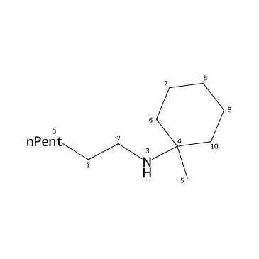 CCCCCCCNC1(C)CCCCC1